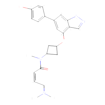 CN(C)C/C=C\C(=O)N(C)C1CC(Oc2cc(-c3ccc(O)cc3)cc3[nH]ncc23)C1